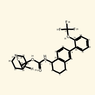 O=C(NC1CCCc2cc(-c3ccccc3OC(F)(F)F)ccc21)O[C@H]1CN2CCC1CC2